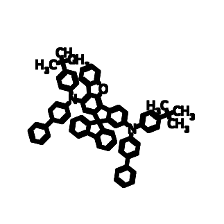 CC(C)(C)c1ccc(N(C2=CCC(c3ccccc3)C=C2)c2cc3c(c4oc5ccccc5c24)-c2ccc(N(c4ccc(-c5ccccc5)cc4)c4ccc(C(C)(C)C)cc4)cc2C32c3ccccc3-c3ccccc32)cc1